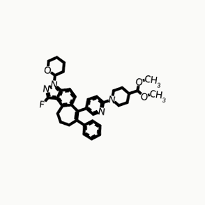 COC(OC)C1CCN(c2ccc(C3=C(c4ccccc4)CCCc4c3ccc3c4c(F)nn3C3CCCCO3)cn2)CC1